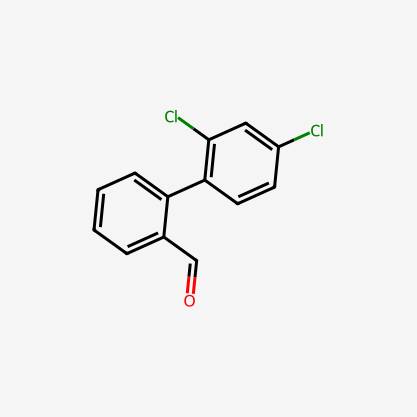 O=Cc1ccccc1-c1ccc(Cl)cc1Cl